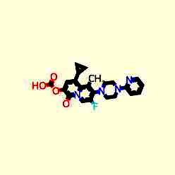 Cc1c(N2CCN(c3ccccn3)CC2)c(F)cn2c(=O)c(OC(=O)O)cc(C3CC3)c12